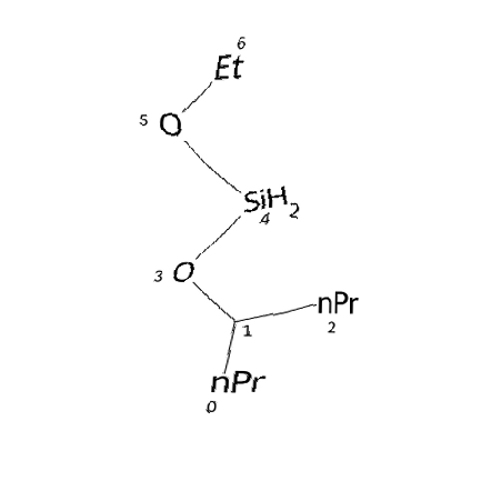 CCCC(CCC)O[SiH2]OCC